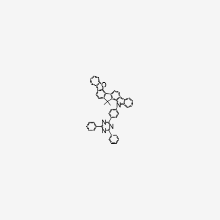 CC1(C)c2ccc3c(oc4ccccc43)c2-c2ccc3c4ccccc4n(-c4ccc(-c5nc(-c6ccccc6)nc(-c6ccccc6)n5)cc4)c3c21